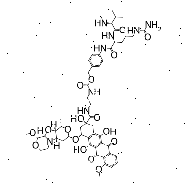 CN[C@H](C(=O)N[C@@H](CCCNC(N)=O)C(=O)Nc1ccc(COC(=O)NCCNC(=O)[C@]2(O)Cc3c(O)c4c(c(O)c3[C@@H](O[C@H]3C[C@H]5[C@H](O[C@@H]6[C@@H](OC)OCCN65)[C@H](C)O3)C2)C(=O)c2c(OC)cccc2C4=O)cc1)C(C)C